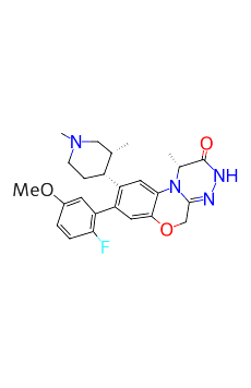 COc1ccc(F)c(-c2cc3c(cc2[C@@H]2CCN(C)C[C@@H]2C)N2C(=NNC(=O)[C@H]2C)CO3)c1